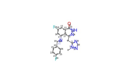 Cn1ncnc1Cc1n[nH]c(=O)c2cc(F)cc(/N=C/c3ccc(F)cc3)c12